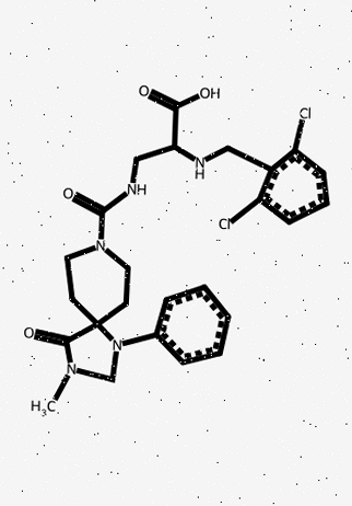 CN1CN(c2ccccc2)C2(CCN(C(=O)NCC(NCc3c(Cl)cccc3Cl)C(=O)O)CC2)C1=O